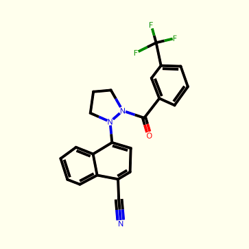 N#Cc1ccc(N2CCCN2C(=O)c2cccc(C(F)(F)F)c2)c2ccccc12